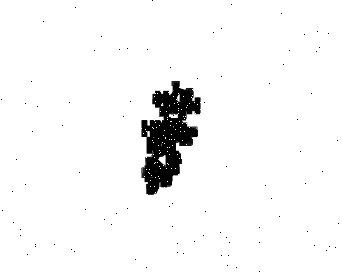 O=C(CC1C[C@H]2CC[C@H]1C2)Nc1nc2cc(C(F)(F)F)cnc2n1C1=CC=C1